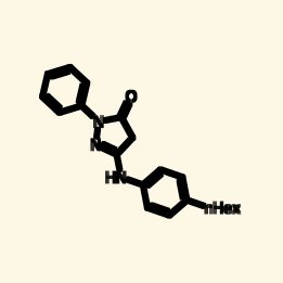 CCCCCCc1ccc(NC2=NN(c3ccccc3)C(=O)C2)cc1